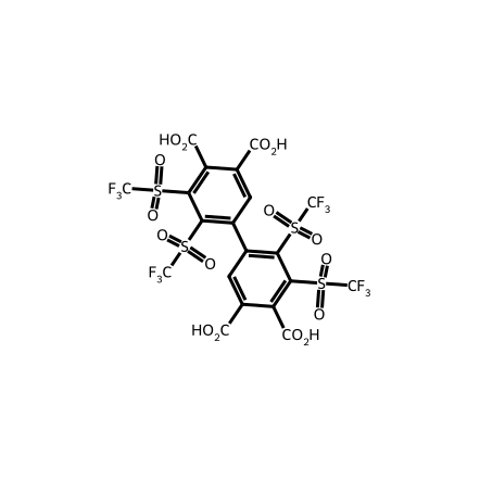 O=C(O)c1cc(-c2cc(C(=O)O)c(C(=O)O)c(S(=O)(=O)C(F)(F)F)c2S(=O)(=O)C(F)(F)F)c(S(=O)(=O)C(F)(F)F)c(S(=O)(=O)C(F)(F)F)c1C(=O)O